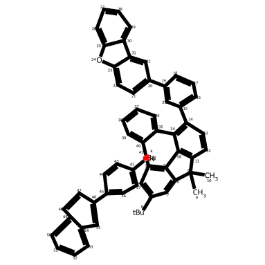 CC(C)(C)c1cc(C(C)(C)C)c2c(c1)C(C)(C)c1ccc(-c3cccc(-c4ccc5oc6ccccc6c5c4)c3)c(-c3ccccc3Nc3ccc(-c4ccc5ccccc5c4)cc3)c1-2